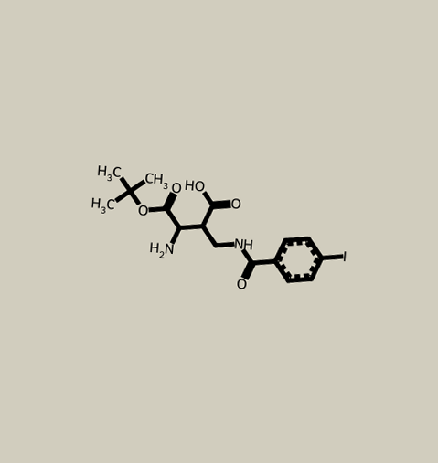 CC(C)(C)OC(=O)C(N)C(CNC(=O)c1ccc(I)cc1)C(=O)O